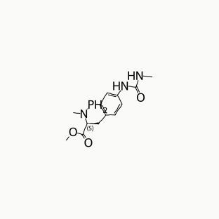 CNC(=O)Nc1ccc(C[C@@H](C(=O)OC)N(C)P)cc1